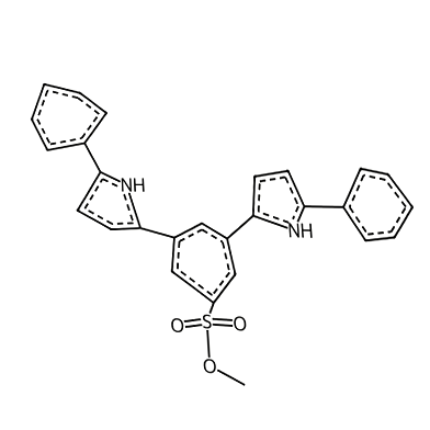 COS(=O)(=O)c1cc(-c2ccc(-c3ccccc3)[nH]2)cc(-c2ccc(-c3ccccc3)[nH]2)c1